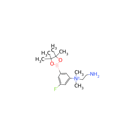 CC1(C)OB(c2cc(F)cc([N+](C)(C)CCN)c2)OC1(C)C